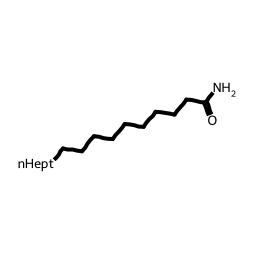 CCCCCCCCCCCCCCCCC(N)=O